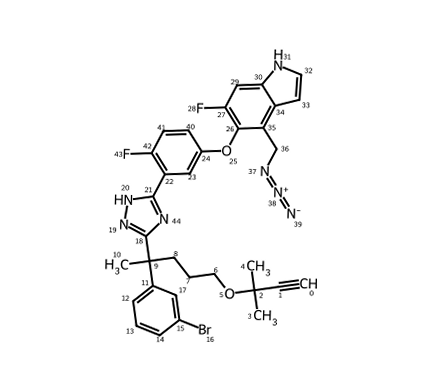 C#CC(C)(C)OCCCC(C)(c1cccc(Br)c1)c1n[nH]c(-c2cc(Oc3c(F)cc4[nH]ccc4c3CN=[N+]=[N-])ccc2F)n1